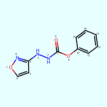 O=C(NNc1ccon1)Oc1ccccc1